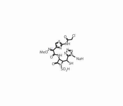 CO/N=C(\C(=O)NC1C(=O)N(S(=O)(=O)O)C1C(S)c1nnnn1C)c1csc(NC(=O)CCl)n1.[NaH]